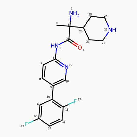 CC(N)(C(=O)Nc1ccc(-c2cc(F)ccc2F)cn1)C1CCNCC1